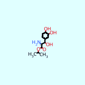 CC(C)OC(=O)[C@@H](N)C(O)c1ccc(O)c(O)c1